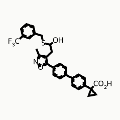 Cc1noc(-c2ccc(-c3ccc(C4(C(=O)O)CC4)cc3)cc2)c1CC(O)SCc1cccc(C(F)(F)F)c1